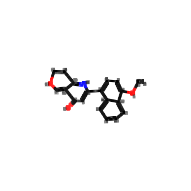 COc1ccc(-c2cc(=O)c3coccc-3n2)c2ccccc12